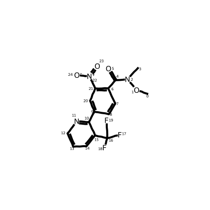 CON(C)C(=O)c1ccc(-c2ncccc2C(F)(F)F)cc1[N+](=O)[O-]